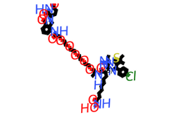 Cc1sc2c(c1C)C(c1ccc(Cl)cc1)=N[C@@H](C(CCCCCCCC(=O)NO)C(=O)NC(C)COCCOCCOCCOCCOCC(=O)Nc1cccc3c1CN(C1CCC(=O)NC1=O)C3=O)c1nnc(C)n1-2